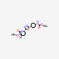 CCCCON1C(=O)N2C[C@@H]1CC[C@H]2c1nnc([C@H]2CC[C@@H](NC(=O)OC(C)(C)C)CC2)o1